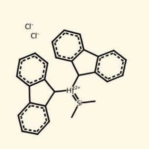 C[Si](C)=[Hf+2]([CH]1c2ccccc2-c2ccccc21)[CH]1c2ccccc2-c2ccccc21.[Cl-].[Cl-]